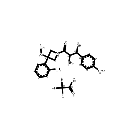 CCCCOC1(c2ccccc2C)CN(C(=O)C(N)C(O)c2ccc(OC)cc2)C1.O=C(O)C(F)(F)F